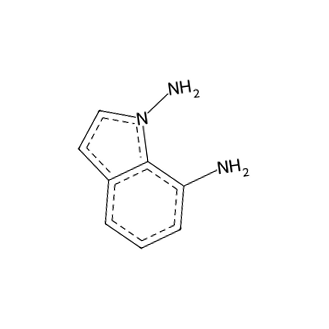 Nc1cccc2ccn(N)c12